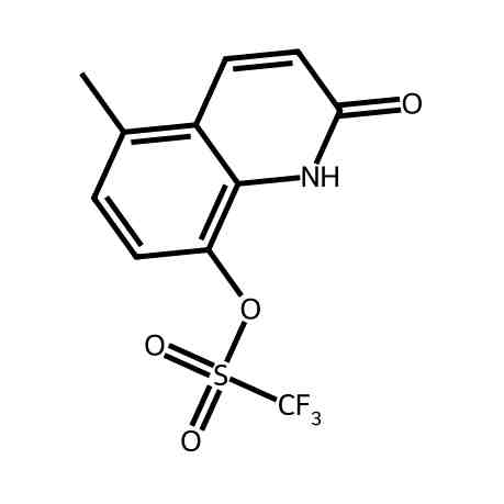 Cc1ccc(OS(=O)(=O)C(F)(F)F)c2[nH]c(=O)ccc12